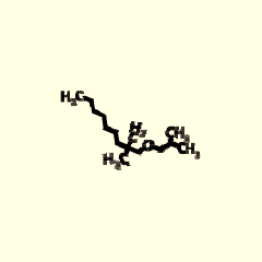 CCCCCCCC(C)(C)COCC(C)C